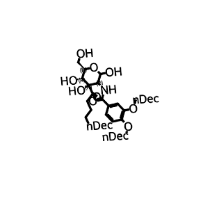 CCCCCCCCCCCCCC(=O)[C@]1(O)[C@H](O)[C@@H](CO)OC(O)[C@@H]1NC(=O)c1ccc(OCCCCCCCCCC)c(OCCCCCCCCCC)c1